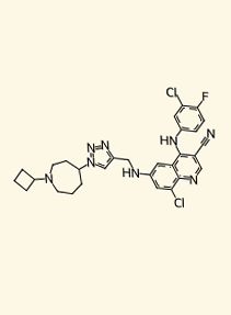 N#Cc1cnc2c(Cl)cc(NCc3cn(C4CCCN(C5CCC5)CC4)nn3)cc2c1Nc1ccc(F)c(Cl)c1